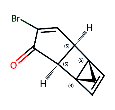 O=C1C(Br)=C[C@@H]2[C@H]1[C@@]13C=C[C@@]21C3